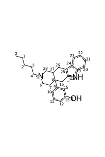 CCCCCN1CCC2(c3cccc(O)c3)Cc3[nH]c4ccccc4c3CC2C1